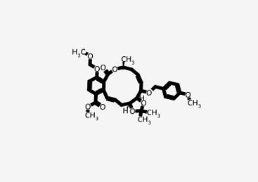 COCOc1ccc(C(=O)OC)c2c1C(=O)O[C@@H](C)C/C=C\C(OCc1ccc(OC)cc1)[C@H]1OC(C)(C)O[C@H]1C/C=C/2